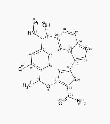 CC(C)NCc1ccc(C(C)Oc2cc(-c3cnc4ccc(CO)cn34)sc2C(N)=O)c(Cl)c1